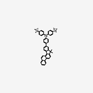 CC1(C)c2cc(-c3ccc(N(c4ccc([Si](C)(C)C)cc4)c4ccc([Si](C)(C)C)cc4)cc3)ccc2-c2c1ccc1c2ccc2ccccc21